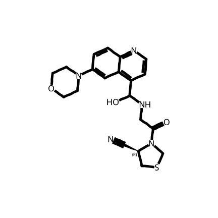 N#C[C@@H]1CSCN1C(=O)CNC(O)c1ccnc2ccc(N3CCOCC3)cc12